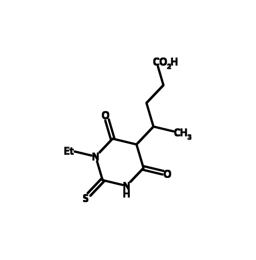 CCN1C(=O)C(C(C)CCC(=O)O)C(=O)NC1=S